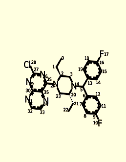 CC[C@H]1CN(C(c2ccc(F)cc2)c2ccc(F)cc2)[C@H](CC)CN1c1nc(Cl)nc2nccnc12